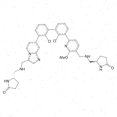 COc1nc(-c2cccc(-c3cccc(-c4ccn5c(CNC[C@@H]6CCC(=O)N6)cnc5c4)c3Cl)c2Cl)ccc1CNC[C@H]1CCC(=O)N1